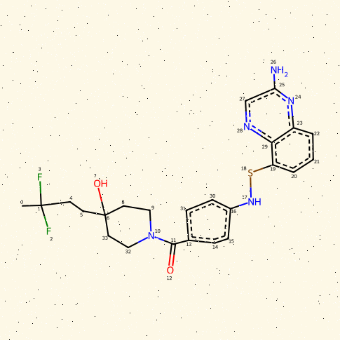 CC(F)(F)CCC1(O)CCN(C(=O)c2ccc(NSc3cccc4nc(N)cnc34)cc2)CC1